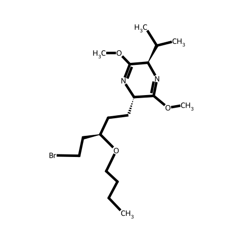 CCCCO[C@@H](CCBr)CC[C@@H]1N=C(OC)[C@@H](C(C)C)N=C1OC